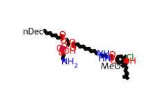 CCCCCCCCCCCCCCCCC(=O)OCC(COP(=O)(O)OCCN)OC(=O)CCCCCCCCNCCNC(=O)O[C@@H]1CC[C@](O)(CCl)[C@@H](C(C)(C)CCC=C(C)C)[C@@H]1OC